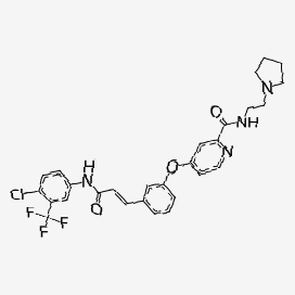 O=C(/C=C/c1cccc(Oc2ccnc(C(=O)NCCN3CCCC3)c2)c1)Nc1ccc(Cl)c(C(F)(F)F)c1